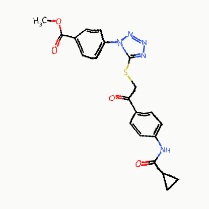 COC(=O)c1ccc(-n2nnnc2SCC(=O)c2ccc(NC(=O)C3CC3)cc2)cc1